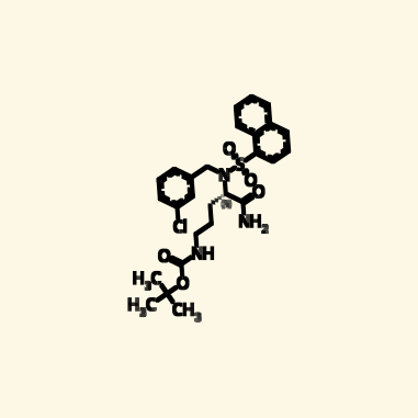 CC(C)(C)OC(=O)NCCC[C@@H](C(N)=O)N(Cc1cccc(Cl)c1)S(=O)(=O)c1cccc2ccccc12